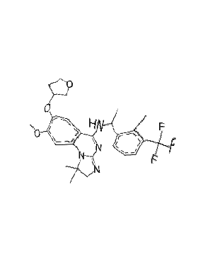 COc1cc2c(cc1OC1CCOC1)C(NC(C)c1cccc(C(F)(F)F)c1C)=NC1=NCC(C)(C)N12